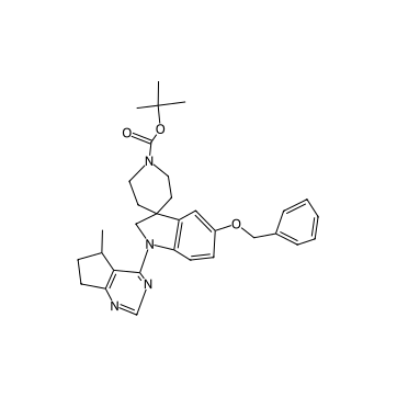 CC1CCc2ncnc(N3CC4(CCN(C(=O)OC(C)(C)C)CC4)c4cc(OCc5ccccc5)ccc43)c21